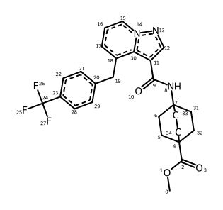 COC(=O)C12CCC(NC(=O)c3cnn4cccc(Cc5ccc(C(F)(F)F)cc5)c34)(CC1)CC2